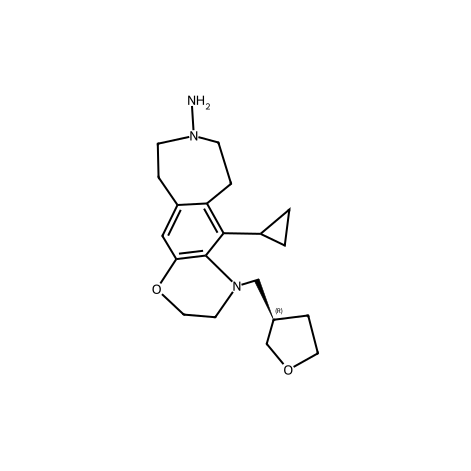 NN1CCc2cc3c(c(C4CC4)c2CC1)N(C[C@H]1CCOC1)CCO3